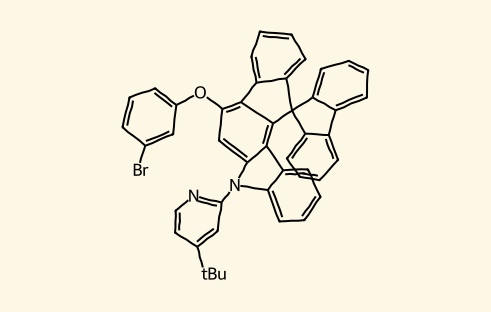 CC(C)(C)c1ccnc(-n2c3ccccc3c3c4c(c(Oc5cccc(Br)c5)cc32)-c2ccccc2C42c3ccccc3-c3ccccc32)c1